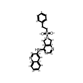 O=S(=O)(CCc1ccccc1)N1Cc2ncnc(Nc3cnc4ccccc4c3)c2C1